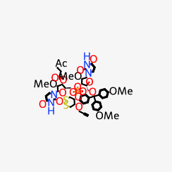 C#CCO[C@@H]1CSSC[C@H]1OP(=O)(OC[C@H]1O[C@@H](n2ccc(=O)[nH]c2=O)[C@H](OC)[C@@H]1OC(=O)CCC(C)=O)O[C@H]1[C@@H](OC)[C@H](n2ccc(=O)[nH]c2=O)O[C@@H]1COC(c1ccccc1)(c1ccc(OC)cc1)c1ccc(OC)cc1